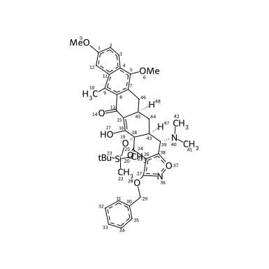 COc1ccc2c(OC)c3c(c(C)c2c1)C(=O)C1=C(O)[C@]2(O[Si](C)(C)C(C)(C)C)C(=O)c4c(OCc5ccccc5)noc4[C@@H](N(C)C)[C@@H]2C[C@@H]1C3